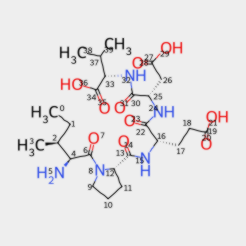 CC[C@H](C)[C@H](N)C(=O)N1CCC[C@H]1C(=O)N[C@@H](CCC(=O)O)C(=O)N[C@@H](CC(=O)O)C(=O)N[C@H](C(=O)O)C(C)C